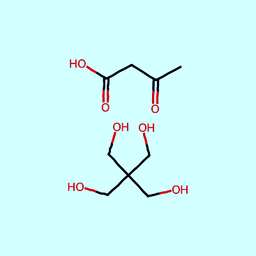 CC(=O)CC(=O)O.OCC(CO)(CO)CO